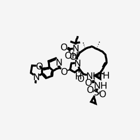 C[C@@H]1CC/C=C\[C@@H]2C[C@@]2(C(=O)NS(=O)(=O)C2CC2)NC(=O)[C@@H]2C[C@@H](Oc3nccc4c5c(ccc34)N(C)CCO5)CN2C(=O)[C@@H](N(C(=O)O)C(C)(C)C)[C@H](C)C1